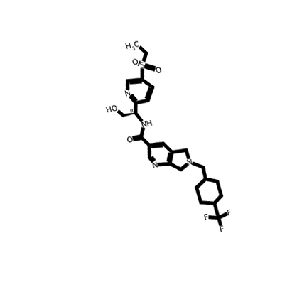 CCS(=O)(=O)c1ccc([C@H](CO)NC(=O)c2cnc3c(c2)CN(CC2CCC(C(F)(F)F)CC2)C3)nc1